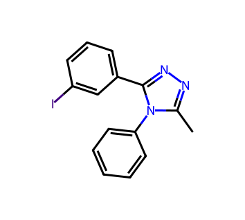 Cc1nnc(-c2cccc(I)c2)n1-c1ccccc1